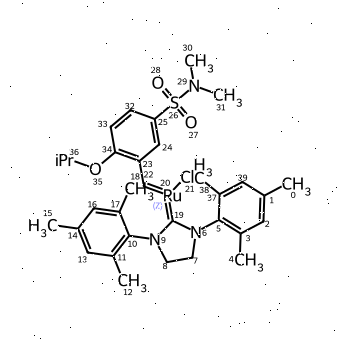 Cc1cc(C)c(N2CCN(c3c(C)cc(C)cc3C)[C]2=[Ru](/[Cl])=[CH]/c2cc(S(=O)(=O)N(C)C)ccc2OC(C)C)c(C)c1